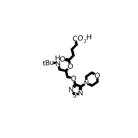 CC(C)(C)NCC(COc1nsnc1N1CCOCC1)OC(=O)CCCC(=O)O